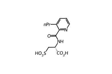 CCCc1cccnc1C(=O)N[C@@H](CS(=O)(=O)O)C(=O)O